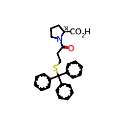 O=C(O)[C@@H]1CCCN1C(=O)CCSC(c1ccccc1)(c1ccccc1)c1ccccc1